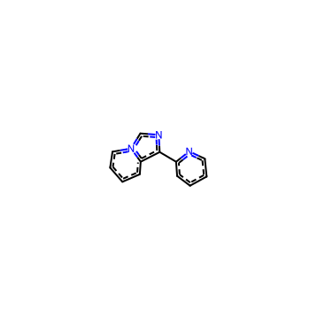 c1ccc(-c2ncn3ccccc23)nc1